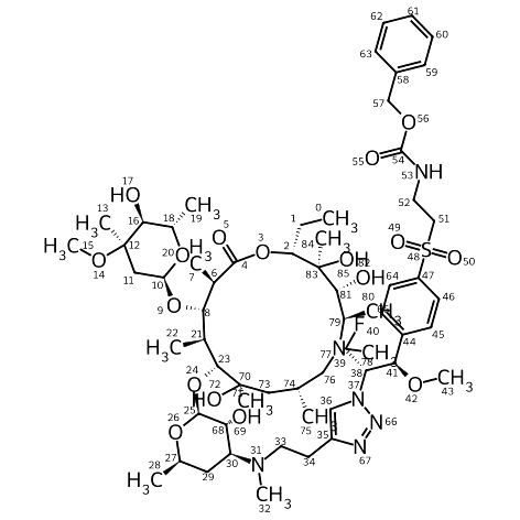 CC[C@H]1OC(=O)[C@H](C)[C@@H](O[C@H]2C[C@@](C)(OC)[C@@H](O)[C@H](C)O2)[C@H](C)[C@@H](O[C@@H]2O[C@H](C)C[C@H](N(C)CCc3cn([C@H](CF)[C@H](OC)c4ccc(S(=O)(=O)CCNC(=O)OCc5ccccc5)cc4)nn3)[C@H]2O)[C@](C)(O)C[C@@H](C)CN(C)[C@H](C)[C@@H](O)[C@]1(C)O